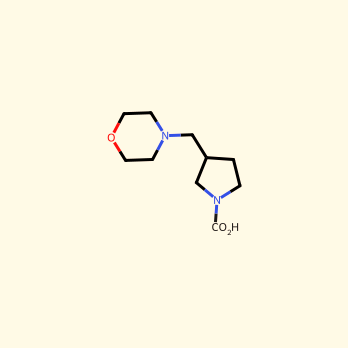 O=C(O)N1CCC(CN2CCOCC2)C1